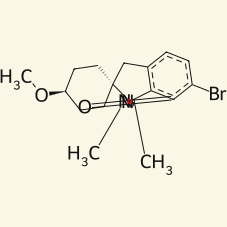 CO[C@H]1CC[C@]2(CC1)Cc1ccc(Br)cc1C21N=C(C)N(C)C1=O